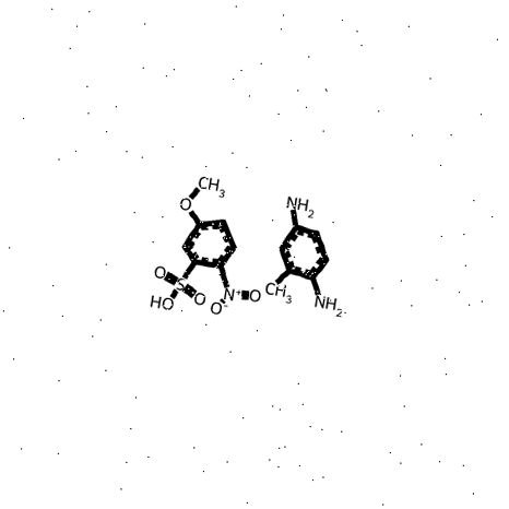 COc1ccc([N+](=O)[O-])c(S(=O)(=O)O)c1.Cc1cc(N)ccc1N